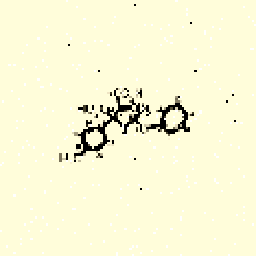 C=C(C(=O)O)C(CC(=O)Oc1ccccc1)(C(=O)O)c1ccc(C)cc1